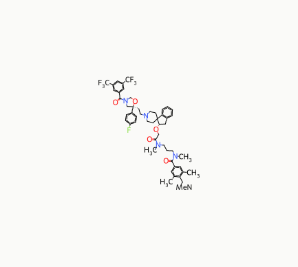 CNCc1c(C)cc(C(=O)N(C)CCCN(C)C(=O)CO[C@H]2Cc3ccccc3C23CCN(CC[C@]2(c4ccc(F)cc4)CN(C(=O)c4cc(C(F)(F)F)cc(C(F)(F)F)c4)CO2)CC3)cc1C